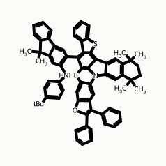 CC(C)(C)c1ccc(Nc2cc3c(cc2-c2c4c5c(c6cc7c(cc6n5-c5cc6c(-c8ccccc8)c(-c8ccccc8)oc6cc5B4)C(C)(C)CCC7(C)C)c4sc5ccccc5c24)-c2ccccc2C3(C)C)cc1